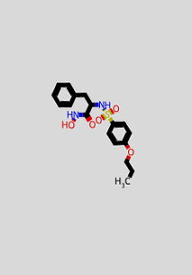 CCCOc1ccc(S(=O)(=O)NC(Cc2ccccc2)C(=O)NO)cc1